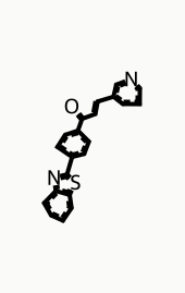 O=C(C=Cc1cccnc1)c1ccc(-c2nc3ccccc3s2)cc1